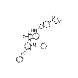 Cn1c(=O)n(-c2ccc(OCc3ccccc3)nc2OCc2ccccc2)c2cccc(NC3CC4(CCN(C(=O)OC(C)(C)C)CC4)C3)c21